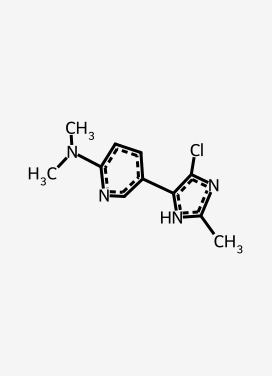 Cc1nc(Cl)c(-c2ccc(N(C)C)nc2)[nH]1